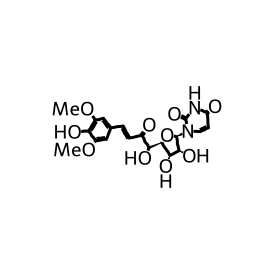 COc1cc(/C=C/C(=O)C(O)[C@H]2O[C@@H](n3ccc(=O)[nH]c3=O)[C@H](O)[C@@H]2O)cc(OC)c1O